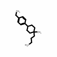 CCCCC1(C)CCC(c2ccc(CC)cc2)CC1